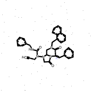 C#CCN(C(=O)NCc1ccccc1)N1CC(=O)N2/C(=C/c3ccccc3)C(=O)N(Cc3cccc4ccccc34)CC21